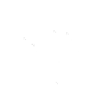 N#Cc1ccc2cc1Oc1ccc3cccc(c3c1)N1CCN(CC1)Cc1cncn1C2